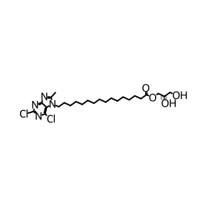 Cc1nc2nc(Cl)nc(Cl)c2n1CCCCCCCCCCCCCCCC(=O)OC[C@@H](O)CO